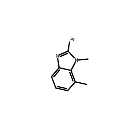 Cc1cccc2nc(C(C)C)n(C)c12